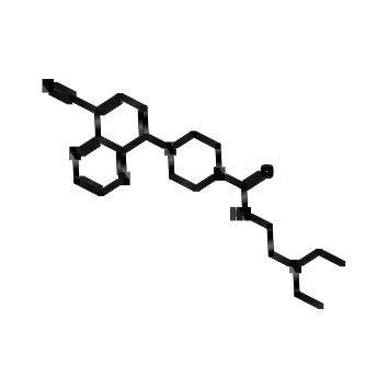 CCN(CC)CCNC(=O)N1CCN(c2ccc(C#N)c3nccnc23)CC1